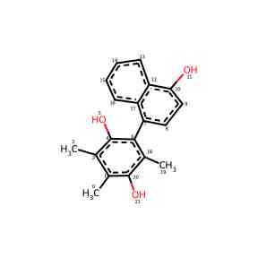 Cc1c(C)c(O)c(-c2ccc(O)c3ccccc23)c(C)c1O